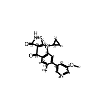 COc1cncc(-c2cc3c(cc2F)c(=O)c2c(=O)[nH]sc2n3C2CC2)c1